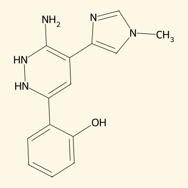 Cn1cnc(C2=C(N)NNC(c3ccccc3O)=C2)c1